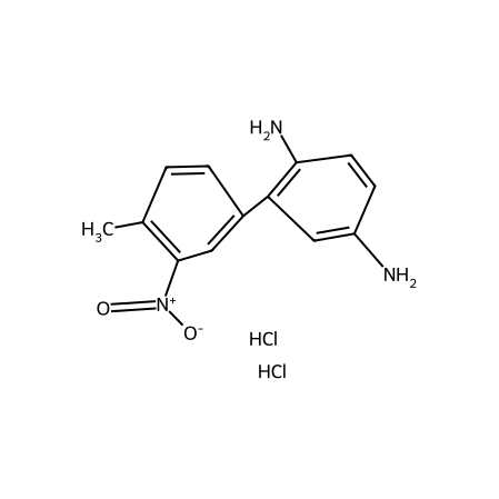 Cc1ccc(-c2cc(N)ccc2N)cc1[N+](=O)[O-].Cl.Cl